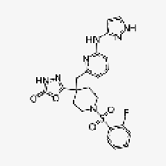 O=c1[nH]nc(C2(Cc3cccc(Nc4cc[nH]n4)n3)CCN(S(=O)(=O)c3ccccc3F)CC2)o1